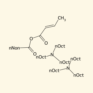 C/C=C/C(=O)OC(=O)CCCCCCCCC.CCCCCCCCN(CCCCCCCC)CCCCCCCC.CCCCCCCCN(CCCCCCCC)CCCCCCCC